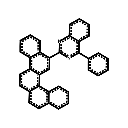 c1ccc(-c2nc(-c3cc4c(ccc5ccc6ccccc6c54)c4ccccc34)nc3ccccc23)cc1